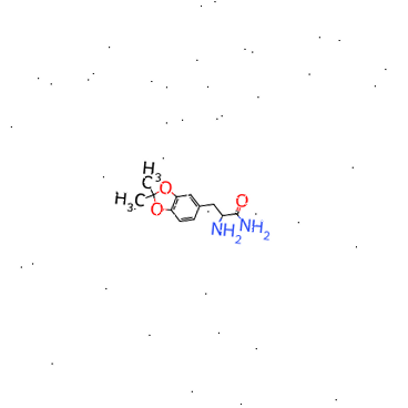 CC1(C)Oc2ccc(C[C@H](N)C(N)=O)cc2O1